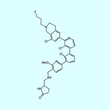 COc1nc(-c2cccc(-c3ccnc(-c4cc(Cl)c5c(c4)CCN(CCCF)C5)c3Cl)c2Cl)ccc1CNCC1CCC(=O)N1